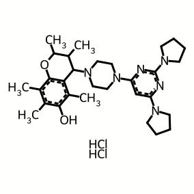 Cc1c(C)c2c(c(C)c1O)C(N1CCN(c3cc(N4CCCC4)nc(N4CCCC4)n3)CC1)C(C)C(C)O2.Cl.Cl